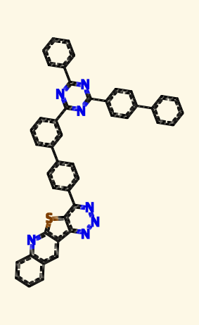 c1ccc(-c2ccc(-c3nc(-c4ccccc4)nc(-c4cccc(-c5ccc(-c6nnnc7c6sc6nc8ccccc8cc67)cc5)c4)n3)cc2)cc1